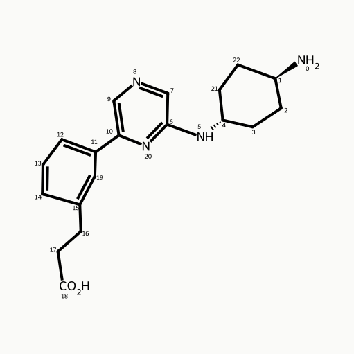 N[C@H]1CC[C@H](Nc2cncc(-c3cccc(CCC(=O)O)c3)n2)CC1